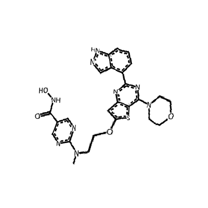 CN(CCOc1cc2nc(-c3cccc4[nH]ncc34)nc(N3CCOCC3)c2s1)c1ncc(C(=O)NO)cn1